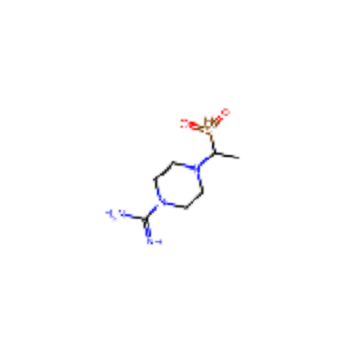 CC(N1CCN(C(=N)N)CC1)[SH](=O)=O